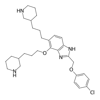 Clc1ccc(OCc2nc3c(OCCCC4CCCNC4)c(CCCC4CCCNC4)ccc3[nH]2)cc1